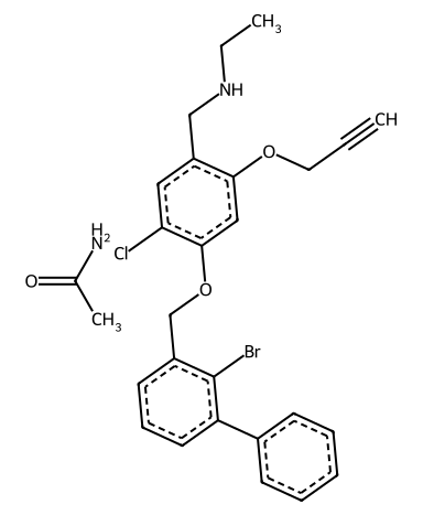 C#CCOc1cc(OCc2cccc(-c3ccccc3)c2Br)c(Cl)cc1CNCC.CC(N)=O